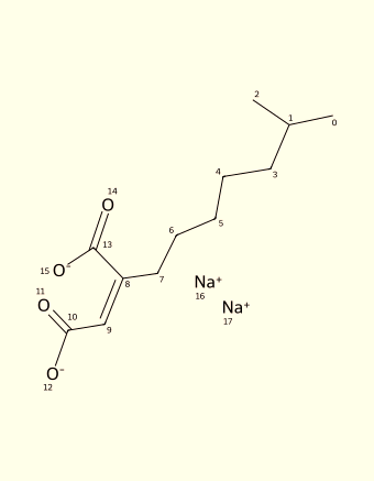 CC(C)CCCCCC(=CC(=O)[O-])C(=O)[O-].[Na+].[Na+]